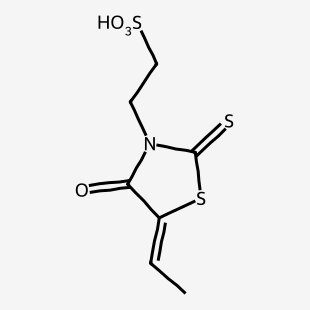 C/C=C1\SC(=S)N(CCS(=O)(=O)O)C1=O